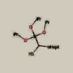 CCCCCCCC(S)[Si](OC(C)C)(OC(C)C)OC(C)C